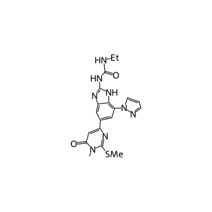 CCNC(=O)Nc1nc2cc(-c3cc(=O)n(C)c(SC)n3)cc(-n3cccn3)c2[nH]1